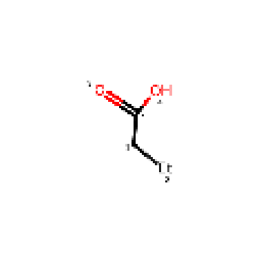 C[CH]CC(=O)O